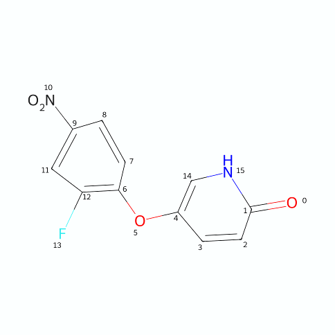 O=c1ccc(Oc2ccc([N+](=O)[O-])cc2F)c[nH]1